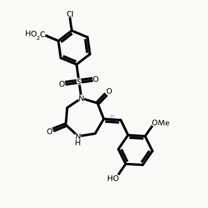 COc1ccc(O)cc1/C=C1\CNC(=O)CN(S(=O)(=O)c2ccc(Cl)c(C(=O)O)c2)C1=O